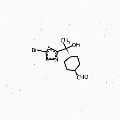 CC(O)(c1ncc(Br)s1)[C@H]1CC[C@H](C=O)CC1